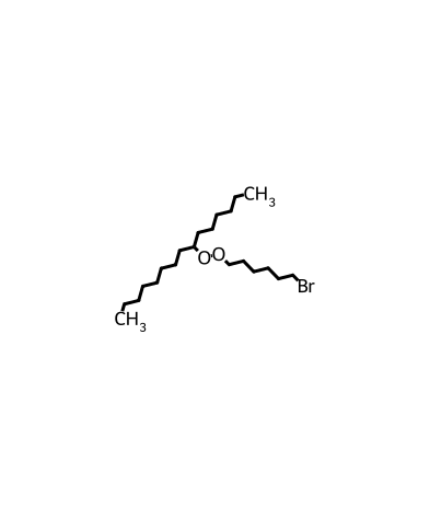 CCCCCCCCC(CCCCCC)OOCCCCCCBr